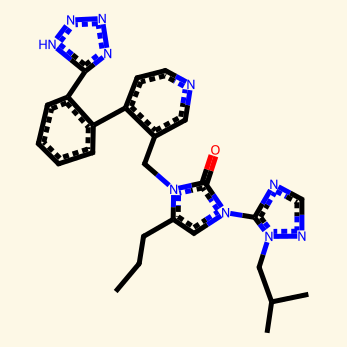 CCCc1cn(-c2ncnn2CC(C)C)c(=O)n1Cc1cnccc1-c1ccccc1-c1nnn[nH]1